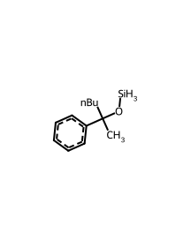 CCCCC(C)(O[SiH3])c1ccccc1